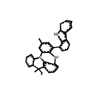 Cc1cc(-c2cccc3c2[nH]c2ccccc23)c2c(c1)N1c3ccccc3C(C)(C)c3cccc(c31)B2